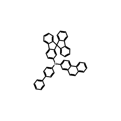 c1ccc(-c2ccc(N(c3ccc4c(c3)C3(c5ccccc5-c5ccccc53)c3ccccc3-4)c3ccc4c(ccc5ccccc54)c3)cc2)cc1